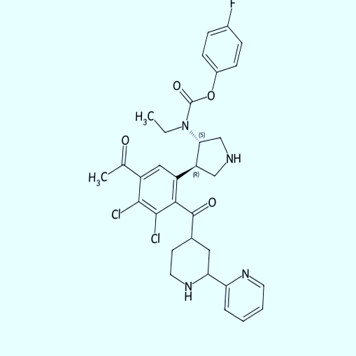 CCN(C(=O)Oc1ccc(F)cc1)[C@@H]1CNC[C@H]1c1cc(C(C)=O)c(Cl)c(Cl)c1C(=O)C1CCNC(c2ccccn2)C1